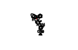 Cc1c(Nc2ccc(S(=O)(=O)C3CC3)cc2F)ncnc1OC1CC2COC[C@@H](C1)N2Cc1ccccc1